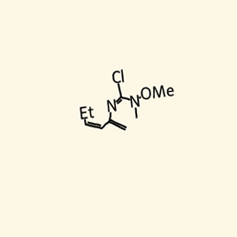 C=C(/C=C\CC)/N=C(/Cl)N(C)OC